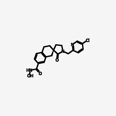 O=C(NO)c1ccc2c(c1)C[C@@]1(CC2)CCN(Cc2ccc(Cl)cn2)C1=O